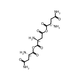 NC(=O)C[C@H](N)C(=O)OC(=O)C[C@H](N)C(=O)OC(=O)[C@@H](N)CC(N)=O